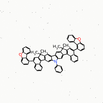 CC1(C)c2cc3c4cc5c(cc4n(-c4ccccc4)c3cc2-c2c1cc(-c1cccc3oc4ccccc4c13)c1ccccc21)-c1c(cc(-c2cccc3oc4ccccc4c23)c2ccccc12)C5(C)C